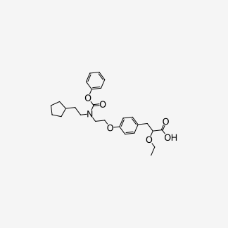 CCOC(Cc1ccc(OCCN(CCC2CCCC2)C(=O)Oc2ccccc2)cc1)C(=O)O